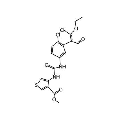 CCOC(Cl)=C(C=O)c1cc(NC(=O)Nc2cscc2C(=O)OC)ccc1Cl